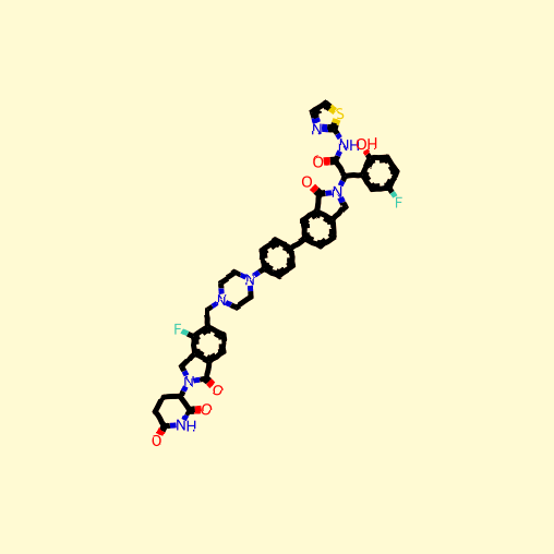 O=C1CCC(N2Cc3c(ccc(CN4CCN(c5ccc(-c6ccc7c(c6)C(=O)N(C(C(=O)Nc6nccs6)c6cc(F)ccc6O)C7)cc5)CC4)c3F)C2=O)C(=O)N1